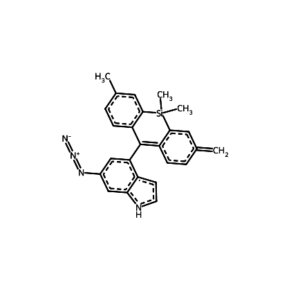 C=c1ccc2c(c1)[Si](C)(C)c1cc(C)ccc1C=2c1cc(N=[N+]=[N-])cc2[nH]ccc12